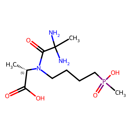 C[C@@H](C(=O)O)N(CCCCP(C)(=O)O)C(=O)C(C)(N)N